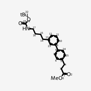 COC(=O)CCc1ccc(-c2cccc(CCCCNC(=O)OC(C)(C)C)c2)cc1